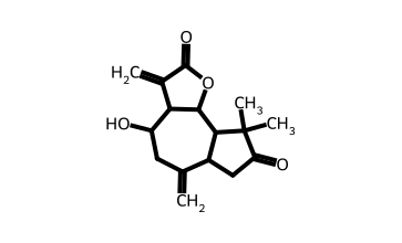 C=C1CC(O)C2C(=C)C(=O)OC2C2C1CC(=O)C2(C)C